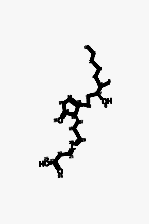 CCCCCC(C)[C@@H](O)CCC1=CCC(=O)[C@@H]1CCC=C=CCC(=O)O